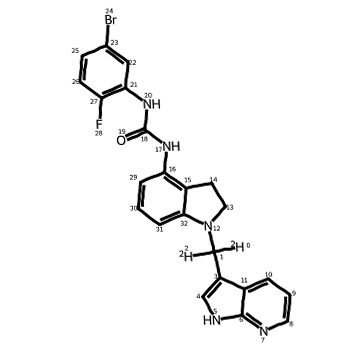 [2H]C([2H])(c1c[nH]c2ncccc12)N1CCc2c(NC(=O)Nc3cc(Br)ccc3F)cccc21